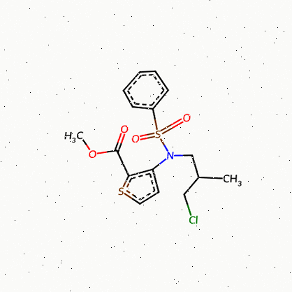 COC(=O)c1sccc1N(CC(C)CCl)S(=O)(=O)c1ccccc1